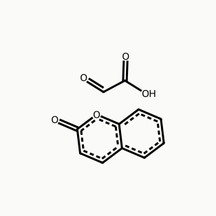 O=CC(=O)O.O=c1ccc2ccccc2o1